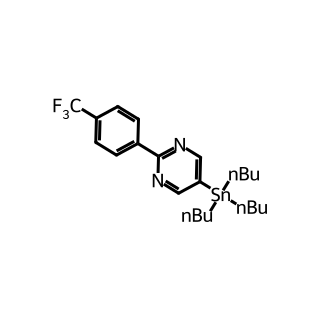 CCC[CH2][Sn]([CH2]CCC)([CH2]CCC)[c]1cnc(-c2ccc(C(F)(F)F)cc2)nc1